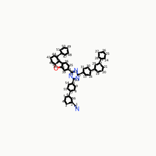 N#Cc1cccc(-c2ccc(-c3nc(-c4ccc(-c5cccc(-c6ccccc6)c5)cc4)nc(-c4ccc5c(c4)oc4cccc(-c6ccccc6)c45)n3)cc2)c1